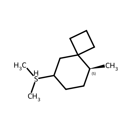 C[C@H]1CCC([SH](C)C)CC12CCC2